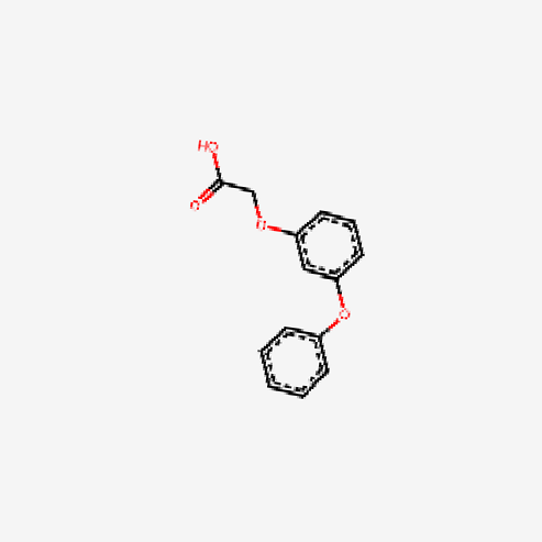 O=C(O)COc1cccc(Oc2ccccc2)c1